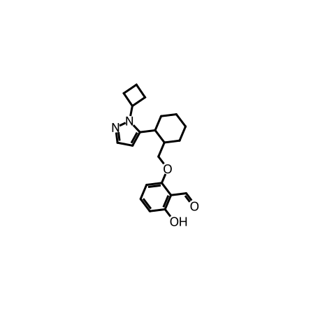 O=Cc1c(O)cccc1OCC1CCCCC1c1ccnn1C1CCC1